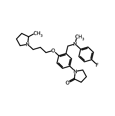 CC1CCCN1CCCOc1ccc(N2CCCC2=O)cc1CN(C)c1ccc(F)cc1